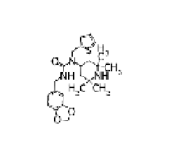 CC1(C)CC(N(Cc2cccs2)C(=O)NCc2ccc3c(c2)OCO3)CC(C)(C)N1